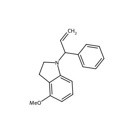 C=CC(c1ccccc1)N1CCc2c(OC)cccc21